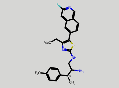 COCc1nc(NCC(N)[C@@H](C)c2ccc(C(F)(F)F)cc2)sc1-c1ccc2cnc(F)cc2c1